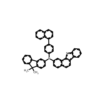 CC1(C)c2ccccc2-c2cc(N(c3ccc(-c4cccc5ccccc45)cc3)c3ccc4ccc5c6ccccc6sc5c4c3)ccc21